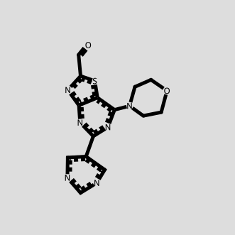 O=Cc1nc2nc(-c3cncnc3)nc(N3CCOCC3)c2s1